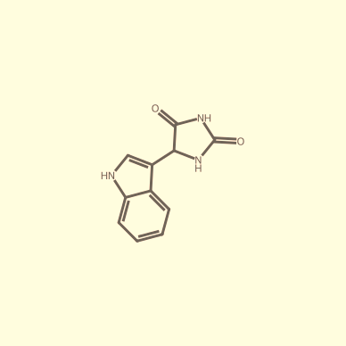 O=C1NC(=O)C(c2c[nH]c3ccccc23)N1